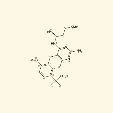 CCC[C@@H](CCSC)Nc1nc(N)nc(C)c1Cc1cc(C(C)(C)C(=O)O)ccc1OC